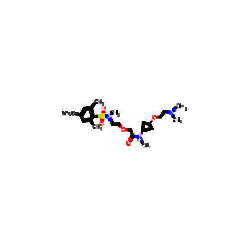 COc1cc(C)c(S(=O)(=O)N(C)CCOCC(=O)N(C)[C@H]2C[C@@H](OCCN(C)C)C2)c(C)c1